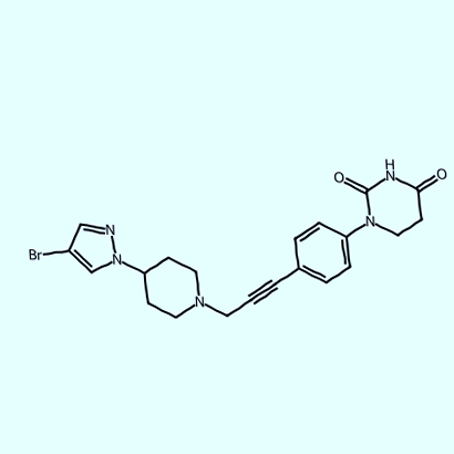 O=C1CCN(c2ccc(C#CCN3CCC(n4cc(Br)cn4)CC3)cc2)C(=O)N1